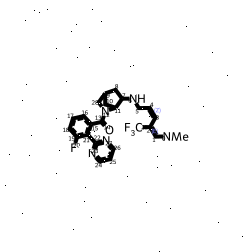 CN/C=C(\C=C/CNC1CC2CC1N(C(=O)c1cccc(F)c1-c1ncccn1)C2)C(F)(F)F